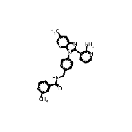 Cc1cccc(C(=O)NCc2ccc(-n3c(-c4cccnc4N)nc4cc(C)cnc43)cc2)c1